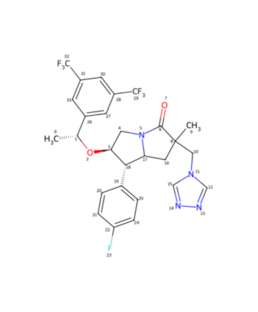 C[C@@H](O[C@H]1CN2C(=O)C(C)(Cn3cnnc3)CC2[C@@H]1c1ccc(F)cc1)c1cc(C(F)(F)F)cc(C(F)(F)F)c1